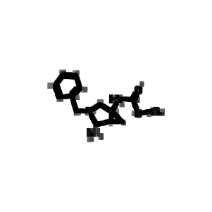 CC(C)(C)OC(=O)NC12CC1CN(Cc1ccccc1)C2.N